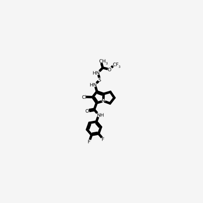 CC(NSNc1c(Cl)c(C(=O)Nc2ccc(F)c(F)c2)n2c1CCC2)OC(F)(F)F